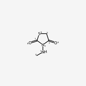 CNN1C(=O)CSC1=O